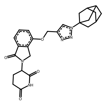 O=C1CCC(N2Cc3c(OCc4cn(C56CC7CC(C5)C(C7)C6)nn4)cccc3C2=O)C(=O)N1